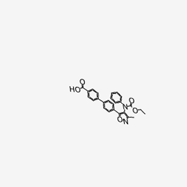 CCOC(=O)N(c1ccccc1)c1c(C)noc1-c1ccc(-c2ccc(C(=O)O)cc2)cc1